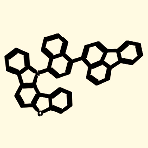 c1ccc2c(c1)-c1cccc3c(-c4ccc(-n5c6ccccc6c6ccc7oc8ccccc8c7c65)c5ccccc45)ccc-2c13